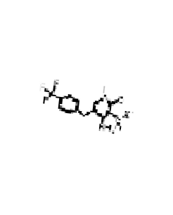 Nc1c(Cc2ccc(C(F)(F)F)cc2)c[nH]c(=O)c1[N+](=O)[O-]